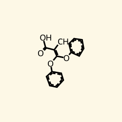 CC(C(=O)O)=C(Oc1ccccc1)Oc1ccccc1